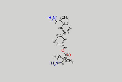 CC(CN)c1cccc(-c2cccc(COC(=O)C(C)(C)CN)c2)c1